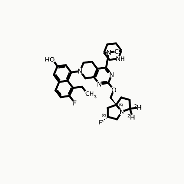 [2H]C1([2H])CC[C@@]2(COc3nc4c(c(N5CC6CCC5CN6)n3)CCN(c3cc(O)cc5ccc(F)c(CC)c35)C4)C[C@@H](F)CN12